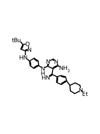 CCN1CCC(c2ccc(C(=N)c3c(N)ncnc3Nc3ccc(Nc4cc(C(C)(C)C)on4)cc3)cc2)CC1